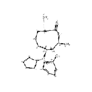 C[C@@H]1OC(=O)[C@@H](N)COC[C@H](OC2CCCC2)[C@H]1Oc1ccccc1